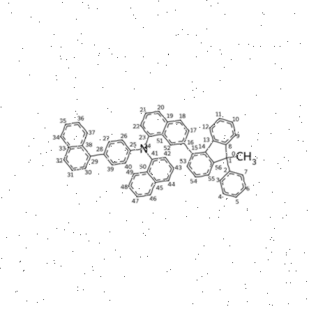 CC1(c2ccccc2)c2ccccc2-c2c(-c3ccc4cccc(N(c5ccc(-c6cccc7ccccc67)cc5)c5cccc6ccccc56)c4c3)cccc21